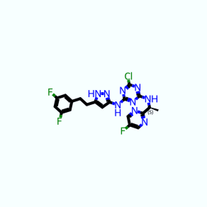 C[C@H](Nc1nc(Cl)nc(Nc2cc(CCc3cc(F)cc(F)c3)[nH]n2)n1)c1ncc(F)cn1